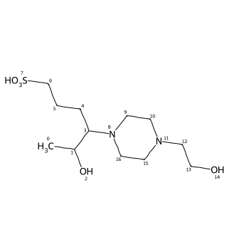 CC(O)C(CCCS(=O)(=O)O)N1CCN(CCO)CC1